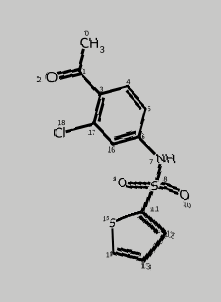 CC(=O)c1ccc(NS(=O)(=O)c2cccs2)cc1Cl